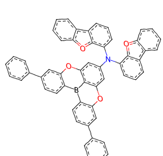 c1ccc(-c2ccc3c(c2)Oc2cc(N(c4cccc5c4oc4ccccc45)c4cccc5c4oc4ccccc45)cc4c2B3c2ccc(-c3ccccc3)cc2O4)cc1